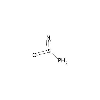 N#S(=O)P